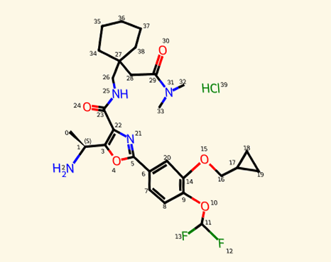 C[C@H](N)c1oc(-c2ccc(OC(F)F)c(OCC3CC3)c2)nc1C(=O)NCC1(CC(=O)N(C)C)CCCCC1.Cl